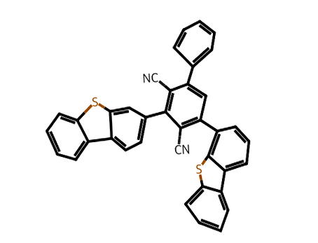 N#Cc1c(-c2ccccc2)cc(-c2cccc3c2sc2ccccc23)c(C#N)c1-c1ccc2c(c1)sc1ccccc12